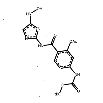 CC(=O)Oc1cc(NC(=O)OC(C)(C)C)ccc1C(=O)Nc1ncc(NO)s1